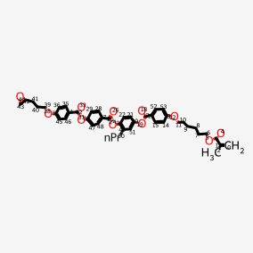 C=C(C)C(=O)OCCCCCCOc1ccc(C(=O)Oc2ccc(OC(=O)c3ccc(OC(=O)c4ccc(OCCCC5CO5)cc4)cc3)c(CCC)c2)cc1